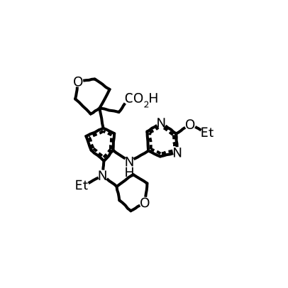 CCOc1ncc(Nc2cc(C3(CC(=O)O)CCOCC3)ccc2N(CC)C2CCOCC2)cn1